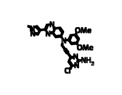 COc1cc(OC)cc(N(CC#Cc2cc(Cl)nc(N)n2)c2ccc3ncc(-c4cnn(C)c4)nc3c2)c1